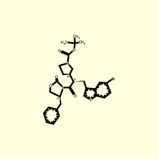 CC(C)(C)OC(=O)N1CC[C@H]([C@H](Cc2csc3ccc(Br)cc23)C(=O)N2C(=O)OC[C@@H]2Cc2ccccc2)C1